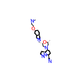 C[C@@H]1CN(c2ccc(C#N)n3nccc23)C[C@H](Cn2cc3ccc(OCCN(C)C)cc3c2)O1